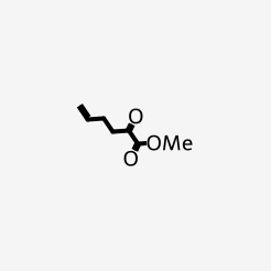 C=CCCC(=O)C(=O)OC